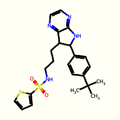 CC(C)(C)c1ccc(C2Nc3nccnc3C2CCCNS(=O)(=O)c2cccs2)cc1